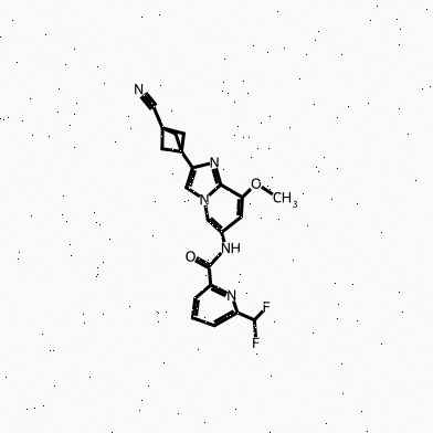 COc1cc(NC(=O)c2cccc(C(F)F)n2)cn2cc(C34CC(C#N)(C3)C4)nc12